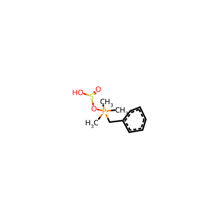 CP(C)(C)(Cc1ccccc1)OS(=O)O